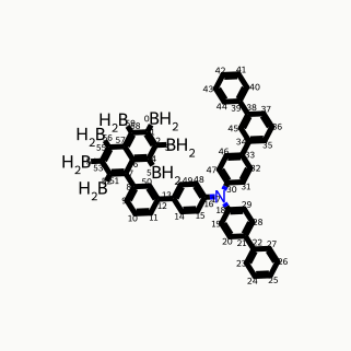 Bc1c(B)c(B)c2c(-c3cccc(-c4ccc(N(c5ccc(-c6ccccc6)cc5)c5ccc(-c6cccc(-c7ccccc7)c6)cc5)cc4)c3)c(B)c(B)c(B)c2c1B